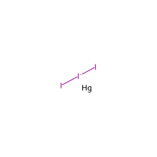 I[I-]I.[Hg]